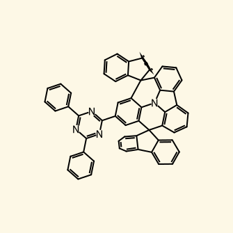 c1ccc(-c2nc(-c3ccccc3)nc(-c3cc4c5c(c3)C3(c6ccccc6-c6ccccc63)c3cccc6c7cccc(c7n-5c36)C43c4ccccc4-c4ccccc43)n2)cc1